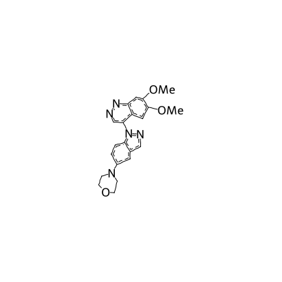 COc1cc2nncc(-n3ncc4cc(N5CCOCC5)ccc43)c2cc1OC